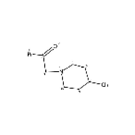 CC(C)C(=O)CN1CCC(Cl)CC1